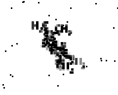 C=CCSN(SCC=C)C(=S)c1nnc(C(=S)N(SCC=C)SCC=C)s1